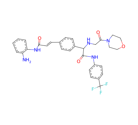 Nc1ccccc1NC(=O)C=Cc1ccc(C(NCC(=O)N2CCOCC2)C(=O)Nc2ccc(C(F)(F)F)cc2)cc1